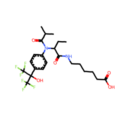 CCC(C(=O)NCCCCCC(=O)O)N(C(=O)C(C)C)c1ccc(C(O)(C(F)(F)F)C(F)(F)F)cc1